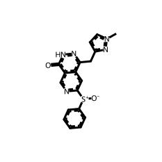 Cn1ccc(Cc2n[nH]c(=O)c3cnc([S+]([O-])c4ccccc4)cc23)n1